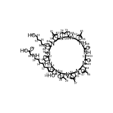 CC[C@@H]1NC(=O)[C@H]([C@H](O)[C@H](C)CCCCCCNCC(=O)O)N(C)C(=O)[C@H](C(C)C)N(C)C(=O)[C@H](CC(C)C)N(C)C(=O)[C@H](CC(C)C)N(C)C(=O)[C@H](C)NC(=O)[C@@H](C)NC(=O)[C@@H](CC(C)C)N(C)C(=O)[C@@H](C(C)C)NC(=O)[C@H](CC(C)C)N(C)C(=O)[C@@H](CSCCCCO)N(C)C1=O